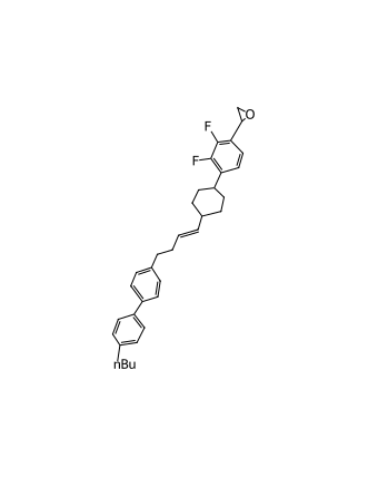 CCCCc1ccc(-c2ccc(CC/C=C/C3CCC(c4ccc(C5CO5)c(F)c4F)CC3)cc2)cc1